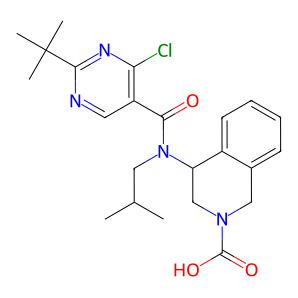 CC(C)CN(C(=O)c1cnc(C(C)(C)C)nc1Cl)C1CN(C(=O)O)Cc2ccccc21